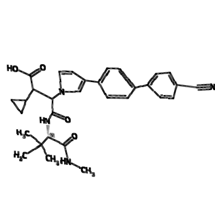 CNC(=O)[C@@H](NC(=O)C(C(C(=O)O)C1CC1)n1ccc(-c2ccc(-c3ccc(C#N)cc3)cc2)c1)C(C)(C)C